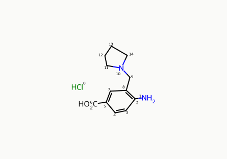 Cl.Nc1ccc(C(=O)O)cc1CN1CCCC1